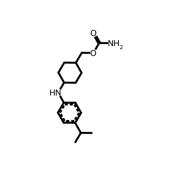 CC(C)c1ccc(NC2CCC(COC(N)=O)CC2)cc1